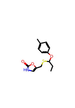 CCC(Oc1ccc(C)cc1)SCc1c[nH]c(=O)o1